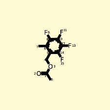 CC(=O)OCc1c(C)c(F)c(F)c(F)c1F